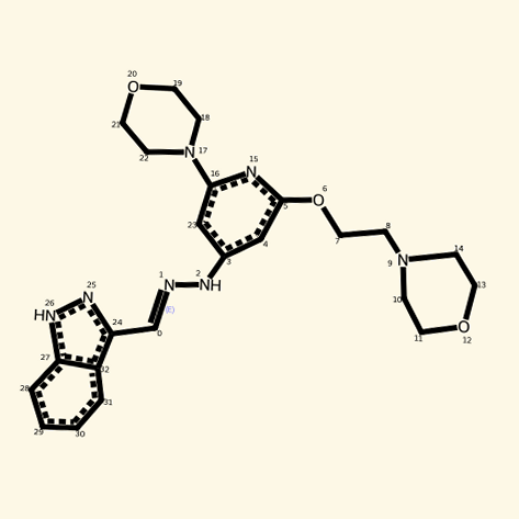 C(=N\Nc1cc(OCCN2CCOCC2)nc(N2CCOCC2)c1)/c1n[nH]c2ccccc12